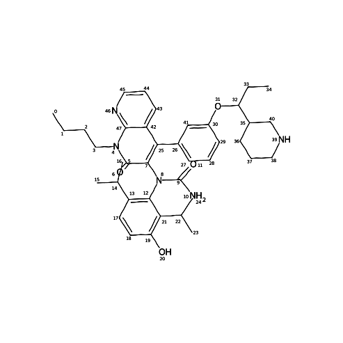 CCCCn1c(=O)c(N(C(N)=O)c2c(C(C)C)ccc(O)c2C(C)C)c(-c2cccc(OC(CC)C3CCCNC3)c2)c2cccnc21